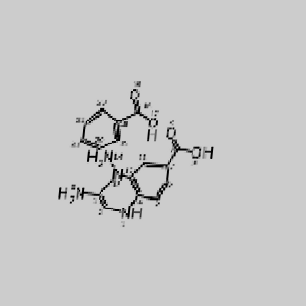 NC1=CNc2ccc(C(=O)O)cc2N1N.O=C(O)c1ccccc1